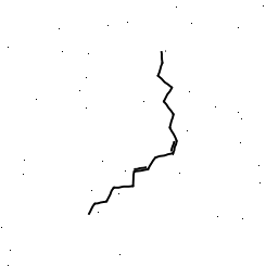 [CH2]CCCCCC/C=C\C/C=C/CCCCC